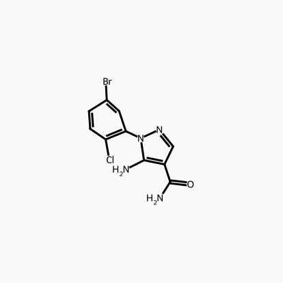 NC(=O)c1cnn(-c2cc(Br)ccc2Cl)c1N